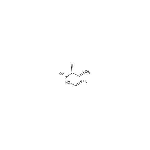 C=CC(=O)[O-].C=CO.[Cs+]